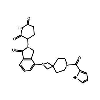 O=C1CCC(N2Cc3c(cccc3N3CC4(CCN(C(=O)c5ccc[nH]5)CC4)C3)C2=O)C(=O)N1